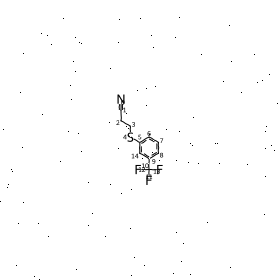 N#CCCSc1cccc(C(F)(F)F)c1